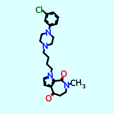 CN1CCC(=O)c2ccn(CCCCN3CCN(c4cccc(Cl)c4)CC3)c2C1=O